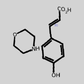 C1COCCN1.O=C(O)/C=C/c1ccc(O)cc1